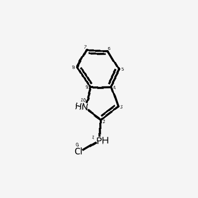 ClPc1cc2ccccc2[nH]1